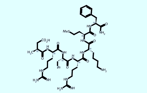 CSCC[C@H](NC(=O)[C@H](CCCCN)NC(=O)[C@H](CCCNC(=N)N)NC(=O)[C@H](CC(C)C)NC(=O)[C@H](CCCNC(=N)N)NC(=O)[C@@H](C)CC(=O)O)C(=O)N[C@@H](Cc1ccccc1)C(N)=O